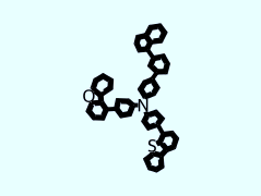 c1cc(-c2ccc(N(c3ccc(-c4cccc5c4sc4ccccc45)cc3)c3ccc(-c4cccc5oc6ccccc6c45)cc3)cc2)cc(-c2cccc3ccccc23)c1